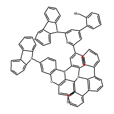 CC(C)(C)c1cc2c3c(c1)N(c1c(-c4ccccc4)cccc1-c1ccccc1)c1ccc(-c4cc(-c5ccccc5C(C)(C)C)cc(-n5c6ccccc6c6ccccc65)n4)cc1B3c1ccc(-n3c4ccccc4c4ccccc43)cc1O2